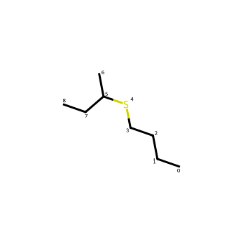 C[CH]CCSC(C)CC